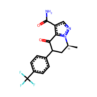 C[C@H]1CC(c2ccc(C(F)(F)F)cc2)C(=O)c2c(C(N)=O)cnn21